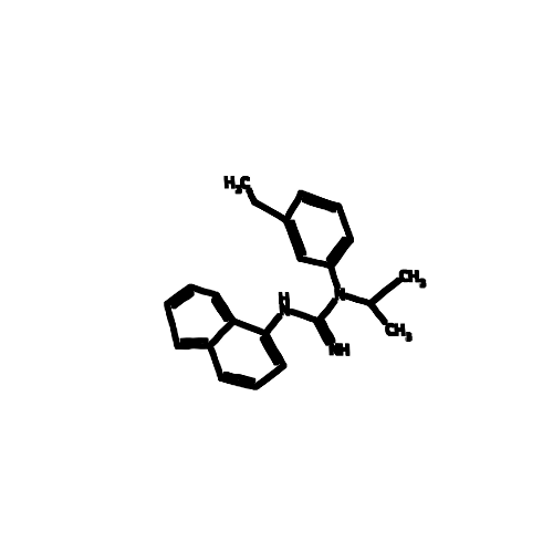 CCc1cccc(N(C(=N)Nc2cccc3ccccc23)C(C)C)c1